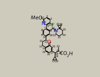 COc1ccc(F)c(-c2ccc(C3CCc4ccc(C(C5CC5)[C@H](C)C(=O)O)cc4O3)cc2CN2CCCCC23CC3)n1